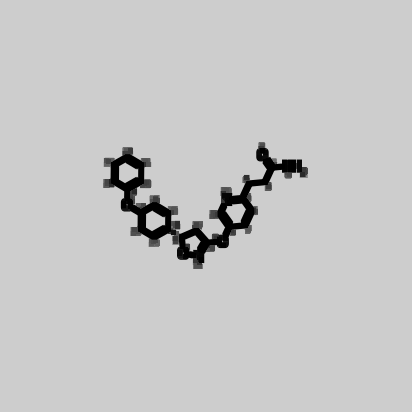 NC(=O)CCc1ccc(OC2=NO[C@H](c3ccc(Oc4ccccc4)cc3)C2)cn1